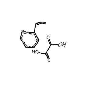 C=Cc1ccccn1.O=C(O)C(=O)O